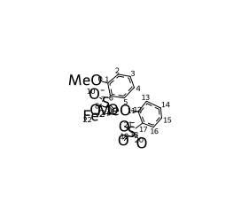 COc1ccccc1S(=O)(=O)[O-].COc1ccccc1S(=O)(=O)[O-].[Fe+2]